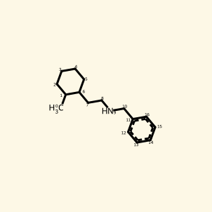 CC1CCCCC1CCNCc1ccccc1